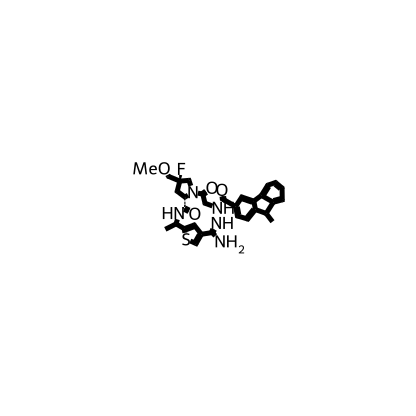 COC[C@@]1(F)C[C@@H](C(=O)NC(C)c2cc(C(=N)N)cs2)N(C(=O)CNC(=O)c2ccc3c(c2)-c2ccccc2C3C)C1